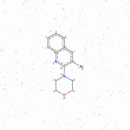 CC(=O)c1cc2ccccc2nc1N1CCOCC1